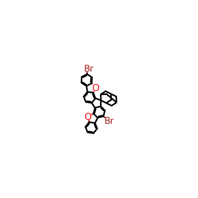 Brc1ccc2c(c1)oc1c3c(ccc12)-c1c(cc(Br)c2c1oc1ccccc12)C31C2CC3CC(C2)CC1C3